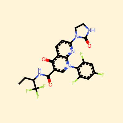 CCC(NC(=O)c1cn(-c2c(F)cc(F)cc2F)c2nc(N3CCNC3=O)ccc2c1=O)C(F)(F)F